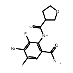 NC(=O)c1cc(I)c(Br)c(F)c1NC(=O)C1CCOC1